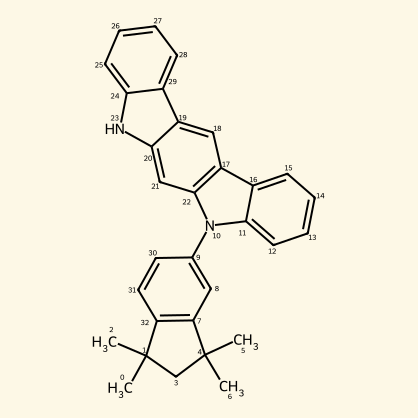 CC1(C)CC(C)(C)c2cc(-n3c4ccccc4c4cc5c(cc43)[nH]c3ccccc35)ccc21